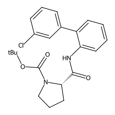 CC(C)(C)OC(=O)N1CCC[C@H]1C(=O)Nc1ccccc1-c1cccc(Cl)c1